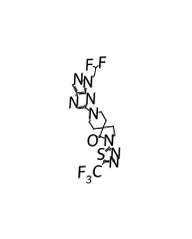 O=C1N(c2nnc(C(F)(F)F)s2)CCC12CCN(c1cnc3cnn(CC(F)F)c3n1)CC2